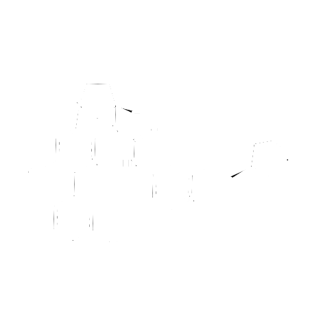 CC1(C)OC[C@H](COc2cc(NC(=O)N3c4nc(-c5cccc(C(F)(F)F)c5)c(Cl)cc4N4CC[C@H]3C4)ccn2)O1